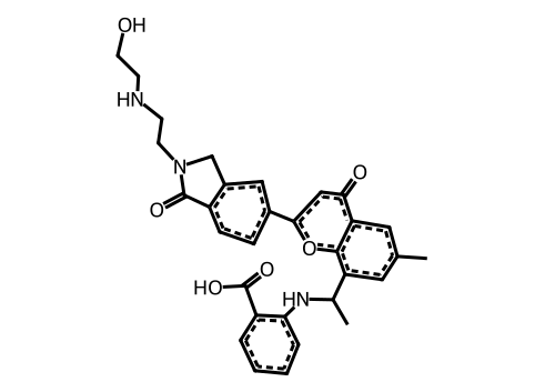 Cc1cc(C(C)Nc2ccccc2C(=O)O)c2oc(-c3ccc4c(c3)CN(CCNCCO)C4=O)cc(=O)c2c1